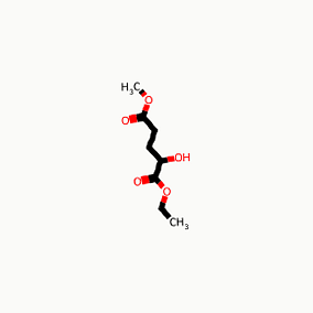 CCOC(=O)C(O)CCC(=O)OC